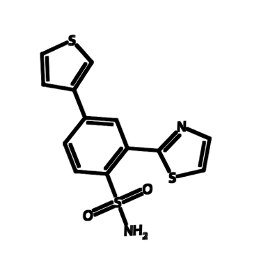 NS(=O)(=O)c1ccc(-c2ccsc2)cc1-c1nccs1